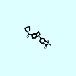 Cn1nc2cc(N3CCc4cc(C(=O)N5CCCCC5)ccc43)ccn2c1=O